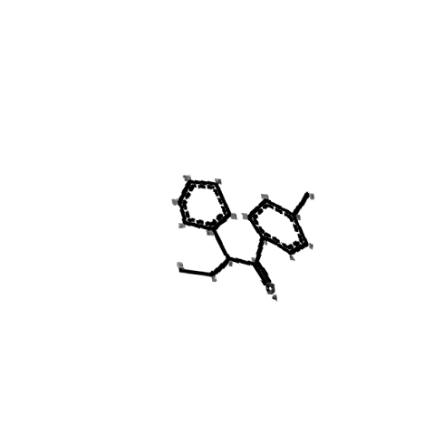 CCC(C(=O)c1ccc(C)cc1)c1ccccc1